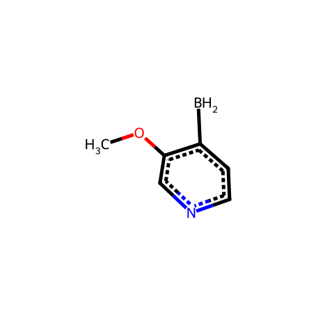 Bc1ccncc1OC